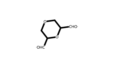 O=[C]C1COCC([C]=O)O1